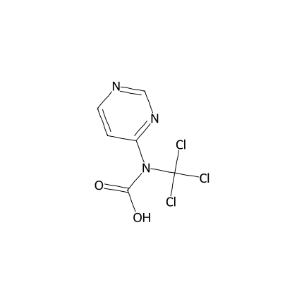 O=C(O)N(c1ccncn1)C(Cl)(Cl)Cl